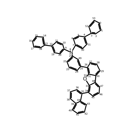 c1ccc(-c2ccc(N(c3ccc(-c4ccccc4)cc3)c3cccc(-c4cccc5c4oc4c(-c6cccc7ccccc67)cccc45)c3)cc2)cc1